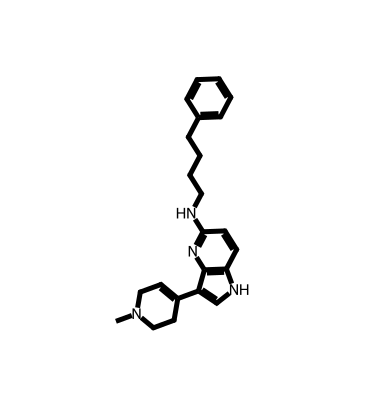 CN1CC=C(c2c[nH]c3ccc(NCCCCc4ccccc4)nc23)CC1